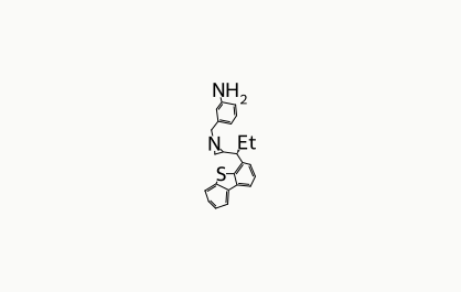 CC[C@@H](c1cccc2c1sc1ccccc12)C1CN1Cc1cccc(N)c1